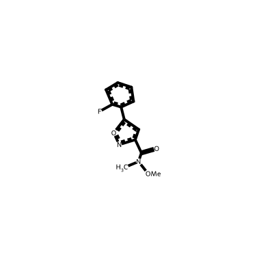 CON(C)C(=O)c1cc(-c2ccccc2F)on1